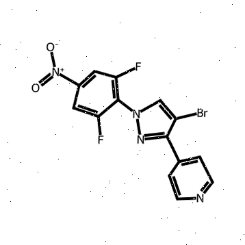 O=[N+]([O-])c1cc(F)c(-n2cc(Br)c(-c3ccncc3)n2)c(F)c1